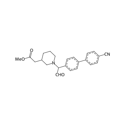 COC(=O)CC1CCCN(C(C=O)c2ccc(-c3ccc(C#N)cc3)cc2)C1